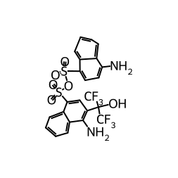 Nc1ccc(S(=O)(=O)OS(=O)(=O)c2cc(C(O)(C(F)(F)F)C(F)(F)F)c(N)c3ccccc23)c2ccccc12